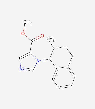 COC(=O)c1cncn1C1c2ccccc2CCC1C